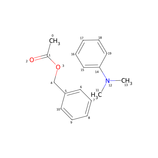 CC(=O)OCc1ccccc1.CN(C)c1ccccc1